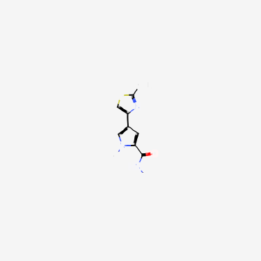 CCNC(=O)c1cc(-c2csc(C)n2)cn1C